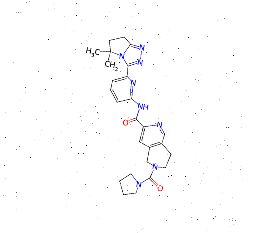 CC1(C)CCc2nnc(-c3cccc(NC(=O)c4cc5c(cn4)CCN(C(=O)N4CCCC4)C5)n3)n21